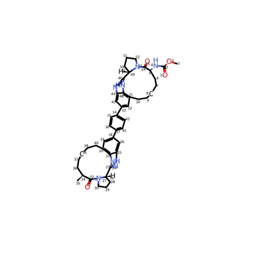 COC(=O)N[C@H]1CCCCCc2cc(-c3ccc(-c4cc5c6[nH]c(nc6c4)[C@@H]4CCCN4C(=O)[C@@H](C)CCCCC5)cc3)cc3nc([nH]c23)[C@@H]2CCCN2C1=O